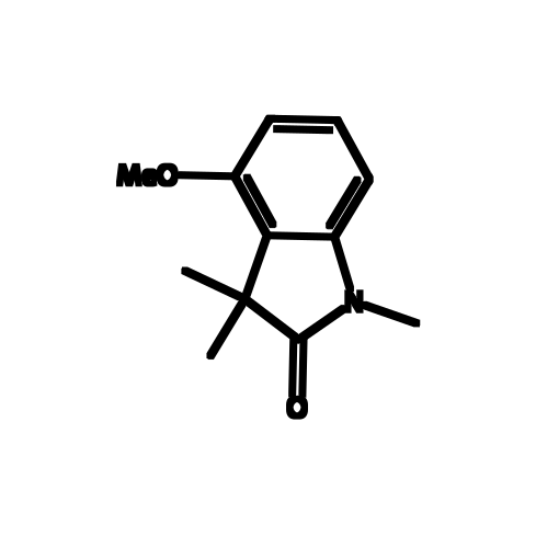 COc1cccc2c1C(C)(C)C(=O)N2C